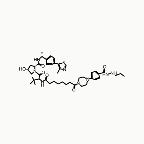 CCCNNC(=O)c1ccc(N2CCN(C(=O)CCCCCCC(=O)NC(C(=O)N3C[C@H](O)C[C@H]3C(=O)N[C@@H](C)c3ccc(-c4scnc4C)cc3)C(C)(C)C)CC2)cc1